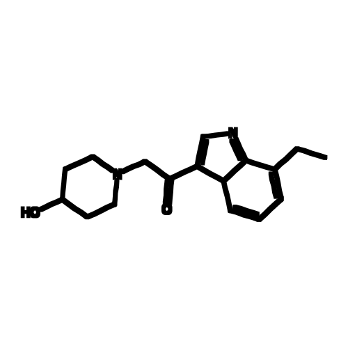 CCC1=CC=CC2C(C(=O)CN3CCC(O)CC3)=CN=C12